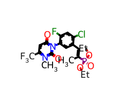 CCOP(=O)(OCC)C(C)=Cc1cc(-n2c(=O)cc(C(F)(F)F)n(C)c2=O)c(F)cc1Cl